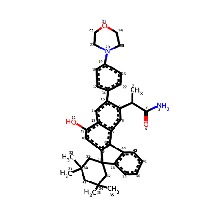 CC(C(N)=O)c1cc2c3c(cc(O)c2cc1-c1ccc(N2CCOCC2)cc1)C1(CC(C)(C)CC(C)(C)C1)c1ccccc1-3